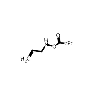 C=CCNOC(=O)CCC